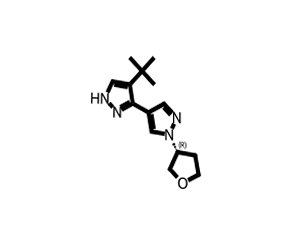 CC(C)(C)c1c[nH]nc1-c1cnn([C@@H]2CCOC2)c1